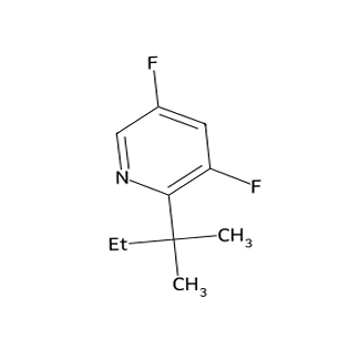 CCC(C)(C)c1ncc(F)cc1F